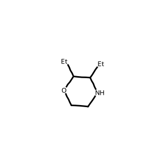 CCC1NCCOC1CC